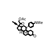 CC#C[C@]1(C(=O)COC(C)=O)CC[C@H]2[C@@H]3CCC4=CC(=O)CCC4=C3[C@@H](c3ccc(NC)cc3)C[C@@]21C